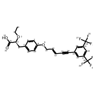 CCO[C@@H](Cc1ccc(OC/C=C/C#Cc2cc(C(F)(F)F)cc(C(F)(F)F)c2)cc1)C(=O)O